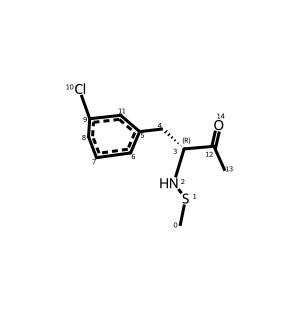 CSN[C@H](Cc1cccc(Cl)c1)C(C)=O